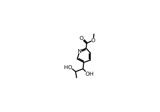 COC(=O)c1ccc(C(O)C(C)O)cn1